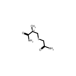 C[C@@H](CSCC(N)=O)C(N)=O